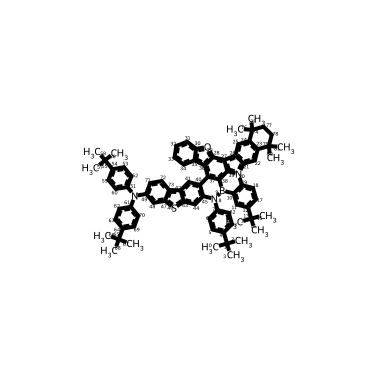 CC(C)(C)c1ccc(N2B3c4cc(C(C)(C)C)ccc4-n4c5cc6c(cc5c5c7oc8ccccc8c7c(c3c54)-c3cc4c(cc32)sc2cc(N(c3ccc(C(C)(C)C)cc3)c3ccc(C(C)(C)C)cc3)ccc24)C(C)(C)CCC6(C)C)cc1